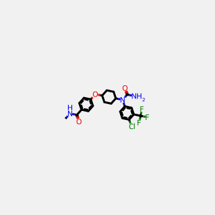 CNC(=O)c1ccc(OC2CCC(N(C(N)=O)c3ccc(Cl)c(C(F)(F)F)c3)CC2)cc1